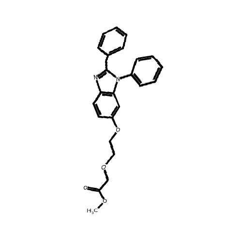 COC(=O)COCCOc1ccc2nc(-c3ccccc3)n(-c3ccccc3)c2c1